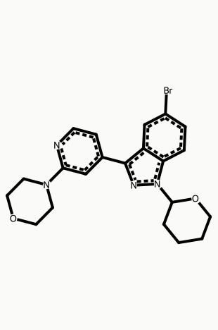 Brc1ccc2c(c1)c(-c1ccnc(N3CCOCC3)c1)nn2C1CCCCO1